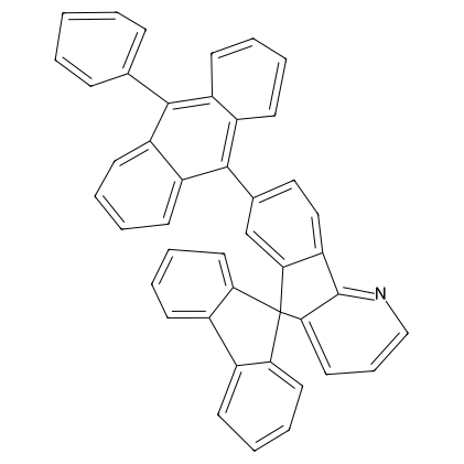 c1ccc(-c2c3ccccc3c(-c3ccc4c(c3)C3(c5ccccc5-c5ccccc53)c3cccnc3-4)c3ccccc23)cc1